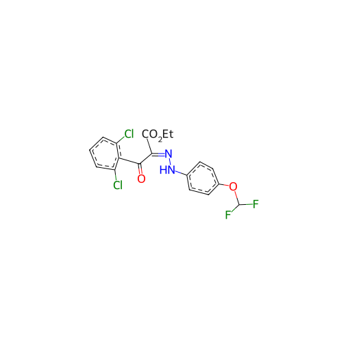 CCOC(=O)C(=NNc1ccc(OC(F)F)cc1)C(=O)c1c(Cl)cccc1Cl